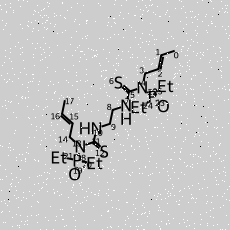 CC=CCN(C(=S)NCCNC(=S)N(CC=CC)P(=O)(CC)CC)P(=O)(CC)CC